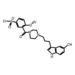 CCS(=O)(=O)c1ccc(OC(C)C)c(C(=O)N2CCN(CCCc3c[nH]c4ccc(C#N)cc34)CC2)c1